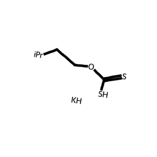 CC(C)CCOC(=S)S.[KH]